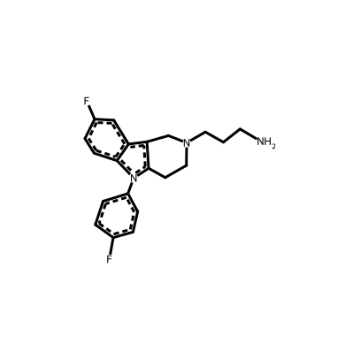 NCCCN1CCc2c(c3cc(F)ccc3n2-c2ccc(F)cc2)C1